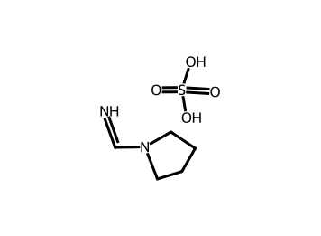 N=CN1CCCC1.O=S(=O)(O)O